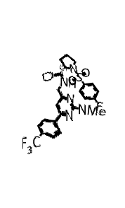 CNc1nc(CNC(=O)[C@@H]2CCCN2S(=O)(=O)c2ccc(F)cc2)cc(-c2ccc(C(F)(F)F)cc2)n1